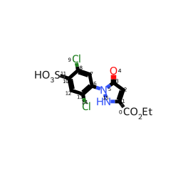 CCOC(=O)c1cc(=O)n(-c2cc(Cl)c(S(=O)(=O)O)cc2Cl)[nH]1